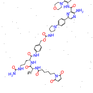 CC(C)C(NC(=O)CCCCCN1C(=O)C=CC1=O)C(=O)N[C@@H](CCCNC(N)=O)C(=O)Nc1ccc(COC(=O)N[C@@H]2CCN(c3ccc(-c4cnc(N)c(C(=O)Nc5cnccc5N5CCOCC5)n4)cc3)C2)cc1